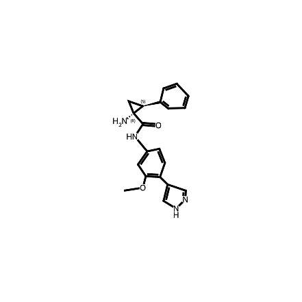 COc1cc(NC(=O)[C@@]2(N)C[C@H]2c2ccccc2)ccc1-c1cn[nH]c1